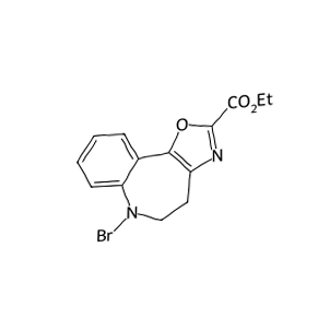 CCOC(=O)c1nc2c(o1)-c1ccccc1N(Br)CC2